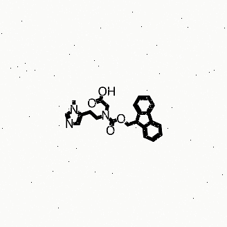 Cn1cncc1CCN(CC(=O)O)C(=O)OCC1c2ccccc2-c2ccccc21